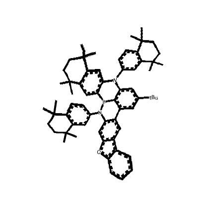 CC(C)(C)c1cc2c3c(c1)N(c1ccc4c(c1)C(C)(C)CCC4(C)C)c1cc4c(cc1B3N(c1ccc3c(c1)C(C)(C)CCC3(C)C)c1cc3oc5ccccc5c3cc1-2)C(C)(C)CCC4(C)C